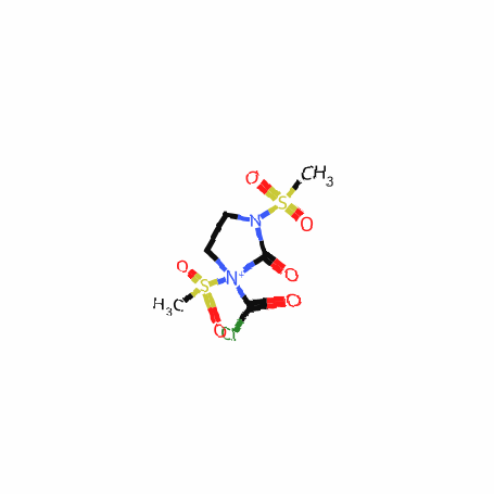 CS(=O)(=O)N1CC[N+](C(=O)Cl)(S(C)(=O)=O)C1=O